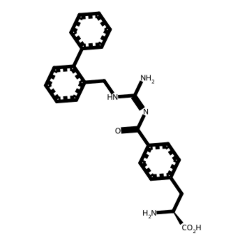 NC(=NC(=O)c1ccc(C[C@H](N)C(=O)O)cc1)NCc1ccccc1-c1ccccc1